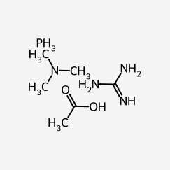 CC(=O)O.CN(C)C.N=C(N)N.P